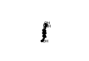 CCC(CC)(c1ccc(CCC(O)C(C)(C)C)c(C)c1)c1ccc(OCC(=O)N[C@H](C)C(=O)O)c(C)c1